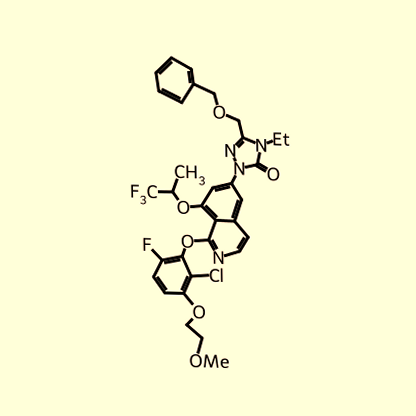 CCn1c(COCc2ccccc2)nn(-c2cc(OC(C)C(F)(F)F)c3c(Oc4c(F)ccc(OCCOC)c4Cl)nccc3c2)c1=O